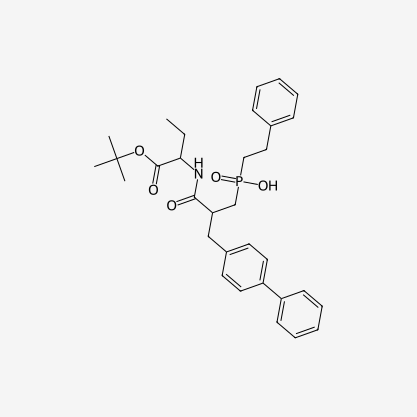 CCC(NC(=O)C(Cc1ccc(-c2ccccc2)cc1)CP(=O)(O)CCc1ccccc1)C(=O)OC(C)(C)C